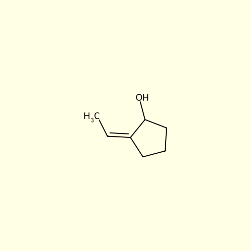 CC=C1CCCC1O